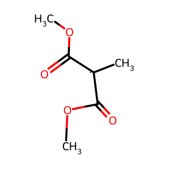 COC(=O)[C](C)C(=O)OC